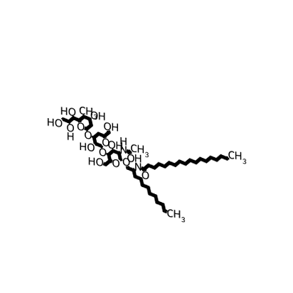 CCCCCCCCCCCCCCCCCC(=O)NC(CCCCCCCCCC)CO[C@@H]1OC(CO)[C@@H](O[C@@H]2OC(CO)C[C@H](O[C@@H]3C[C@@H](O)[C@@H](C)C([C@H](O)[C@H](O)CO)O3)C2O)[C@H](O)C1NC(C)=O